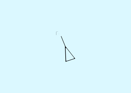 [Fe][CH]1CC1